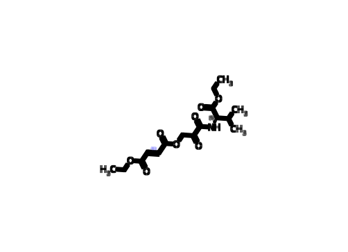 CCOC(=O)/C=C/C(=O)OCC(=O)C(=O)N[C@H](C(=O)OCC)C(C)C